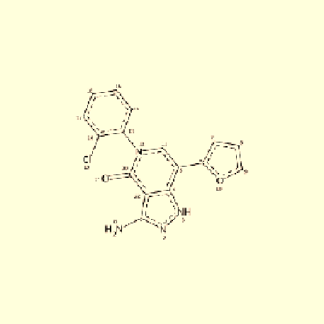 Nc1n[nH]c2c(-c3ccco3)cn(-c3ccccc3Cl)c(=O)c12